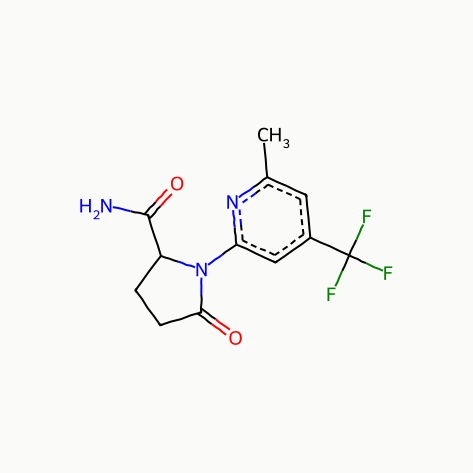 Cc1cc(C(F)(F)F)cc(N2C(=O)CCC2C(N)=O)n1